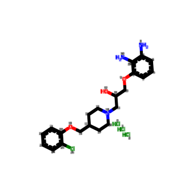 Cl.Cl.Cl.Nc1cccc(OCC(O)CN2CCC(COc3ccccc3Cl)CC2)c1N